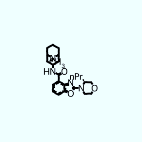 CCC[C@H]1COCCN1c1nc2c(C(=O)NC3CC4CCCC(C3)N4C)cccc2o1